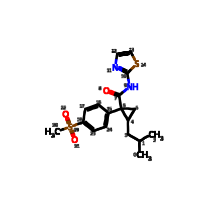 CC(C)CC1CC1(C(=O)Nc1nccs1)c1ccc(S(C)(=O)=O)cc1